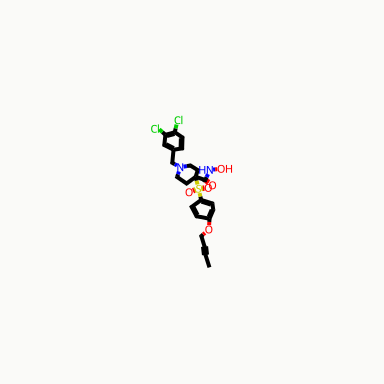 CC#CCOc1ccc(S(=O)(=O)C2(C(=O)NO)CCN(Cc3ccc(Cl)c(Cl)c3)CC2)cc1